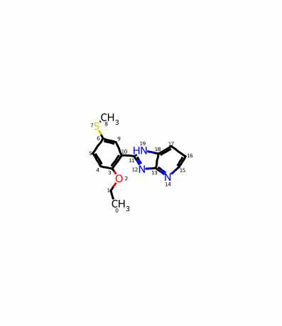 CCOc1ccc(SC)cc1-c1nc2ncccc2[nH]1